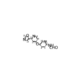 O=[C]Nc1ccc(Oc2ccnc(-c3cnco3)c2)cn1